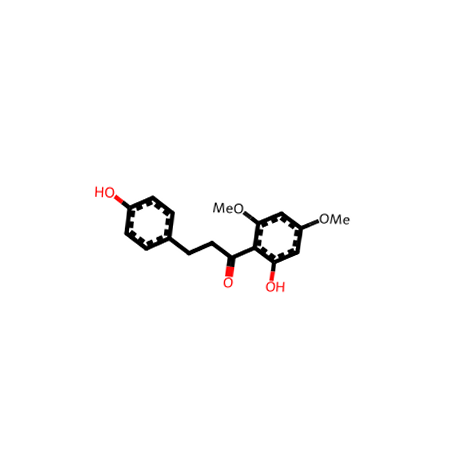 COc1cc(O)c(C(=O)CCc2ccc(O)cc2)c(OC)c1